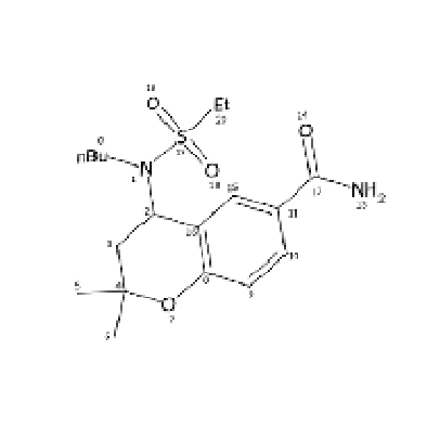 CCCCN(C1CC(C)(C)Oc2ccc(C(N)=O)cc21)S(=O)(=O)CC